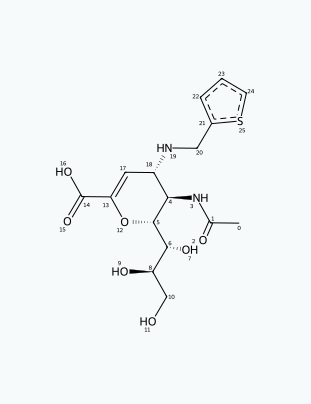 CC(=O)N[C@H]1[C@H]([C@H](O)[C@H](O)CO)OC(C(=O)O)=C[C@@H]1NCc1cccs1